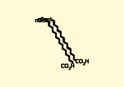 CCCCCC=CCC=CCC=CCC=CCCCC(=O)O.CCCCCCCCC=CCCCCCCCCCCCCCC(=O)O